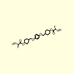 CCC[C@H](F)C(=O)OC1CCC(COc2ccc(OCC3CCC(OC(=O)[C@@H](F)CCC)CC3)cc2)CC1